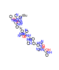 CC(C)(C)c1ccc(N(C(=O)c2cnc[nH]2)C(C(=O)N[C@H](CNCc2ccccc2)Cc2c[nH]c3c(CC(C)(C)c4ccc(N(C(=O)c5cnc[nH]5)C(C(=O)N[C@@H](CNCc5ccccc5)Cc5c[nH]c6c(-c7cccc(-c8ccc(N(C(=O)c9cnc[nH]9)C(C(=O)N[C@@H](CO)Cc9c[nH]c%10ccccc9%10)c9cccnc9)cc8)c7)cccc56)c5cccnc5)cc4)cccc23)c2cccnc2)cc1